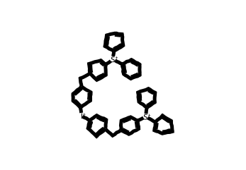 c1ccc([S+](c2ccccc2)c2ccc(Cc3ccc([I+]c4ccc(Cc5ccc([S+](c6ccccc6)c6ccccc6)cc5)cc4)cc3)cc2)cc1